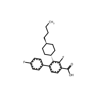 CCCC[C@H]1CC[C@H](c2c(-c3ccc(F)cc3)ccc(C(=O)O)c2F)CC1